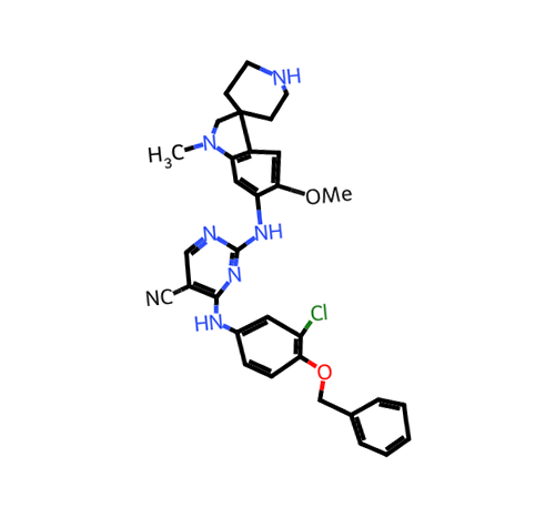 COc1cc2c(cc1Nc1ncc(C#N)c(Nc3ccc(OCc4ccccc4)c(Cl)c3)n1)N(C)CC21CCNCC1